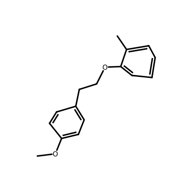 COc1ccc(CCOc2ccccc2C)cc1